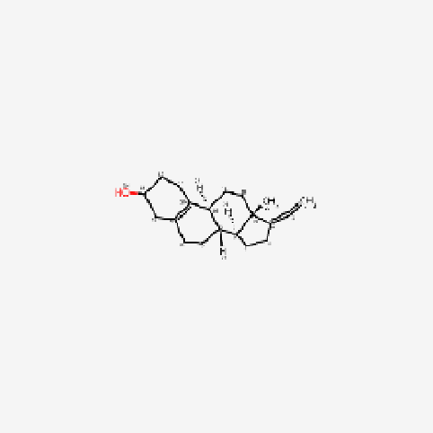 C=C=C1CC[C@H]2[C@@H]3CCC4=C(CCC(O)C4)[C@H]3CC[C@]12C